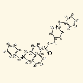 O=C(CCC1CCN(Cc2ccccc2)CC1)c1ccc2c3c(cccc13)CN(Cc1ccccc1)C2